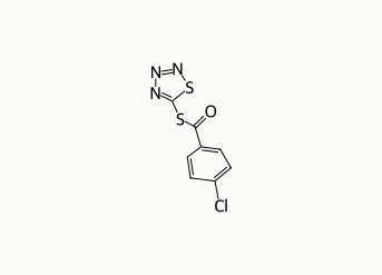 O=C(Sc1nnns1)c1ccc(Cl)cc1